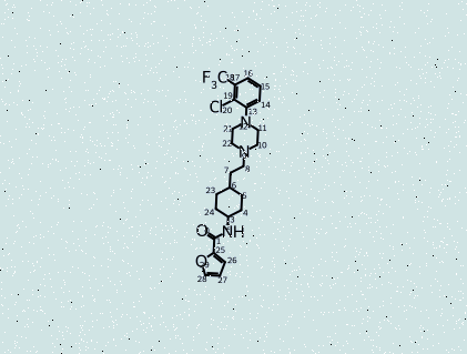 O=C(NC1CCC(CCN2CCN(c3cccc(C(F)(F)F)c3Cl)CC2)CC1)c1ccco1